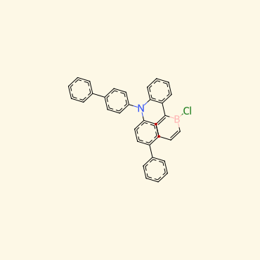 ClB1C=CCC=C1c1ccccc1N(c1ccc(-c2ccccc2)cc1)c1ccc(-c2ccccc2)cc1